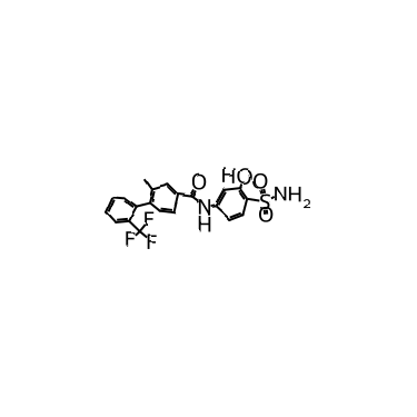 Cc1cc(C(=O)Nc2ccc(S(N)(=O)=O)c(O)c2)ccc1-c1ccccc1C(F)(F)F